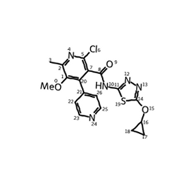 COc1c(C)nc(Cl)c(C(=O)Nc2nnc(OC3CC3)s2)c1-c1ccncc1